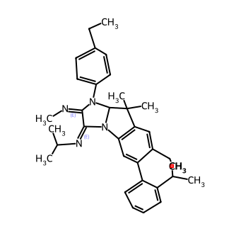 CCc1ccc(N2C(=N/C)/C(=N\C(C)C)N3c4cc(-c5ccccc5C(C)C)c(CC)cc4C(C)(C)C23)cc1